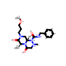 CCCCOCCCN1C[C@H]2N(C(=O)CN(C)N2C(=O)NCc2ccccc2)[C@@H](CCCC)C1=O